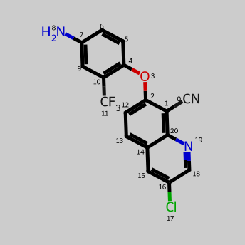 N#Cc1c(Oc2ccc(N)cc2C(F)(F)F)ccc2cc(Cl)cnc12